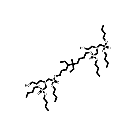 CCCCOP(=O)(CN(CCO)CP(=O)(OCCCC)OCCCCC(C)(CC)C(CC)CCCOP(=O)(CN(CCCO)CP(=O)(OCCCC)OCCCC)OCCCC)OCCCC